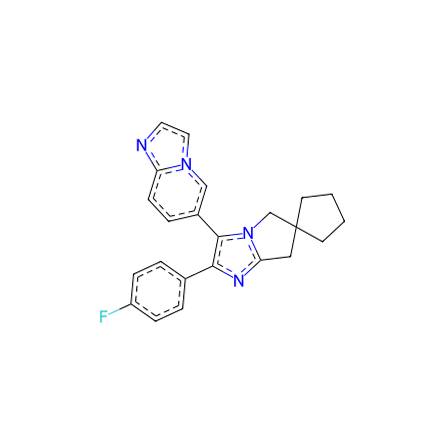 Fc1ccc(-c2nc3n(c2-c2ccc4nccn4c2)CC2(CCCC2)C3)cc1